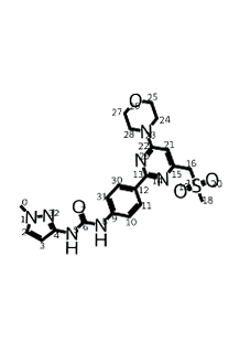 Cn1ccc(NC(=O)Nc2ccc(-c3nc(CS(C)(=O)=O)cc(N4CCOCC4)n3)cc2)n1